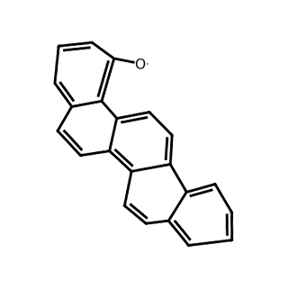 [O]c1cccc2ccc3c4ccc5ccccc5c4ccc3c12